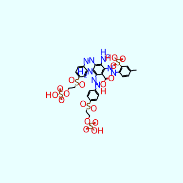 Cc1ccc(N=Nc2c(N)c(/N=N\c3ccc(S(=O)(=O)CCOS(=O)(=O)O)cc3)c(N)c(N=Nc3ccc(S(=O)(=O)CCOS(=O)(=O)O)cc3)c2C(=O)O)c(S(=O)(=O)O)c1